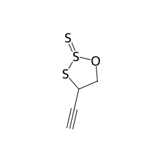 C#CC1COS(=S)S1